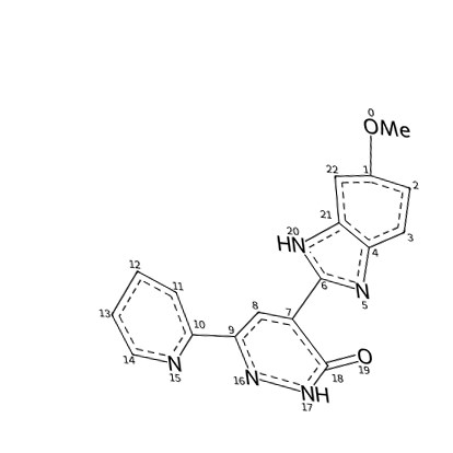 COc1ccc2nc(-c3cc(-c4ccccn4)n[nH]c3=O)[nH]c2c1